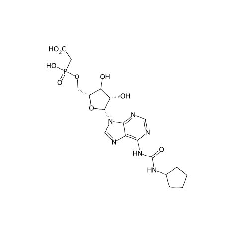 O=C(O)CP(=O)(O)OC[C@H]1O[C@@H](n2cnc3c(NC(=O)NC4CCCC4)ncnc32)[C@@H](O)C1O